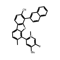 Cc1ccc2c(sc3c(-c4ccc5ccccc5c4)c(C#N)ccc32)c1-c1cc(C(C)(C)C)c(F)c[n+]1C